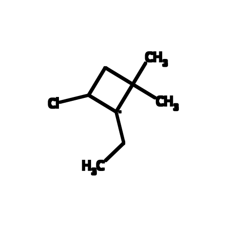 CC[C]1C(Cl)CC1(C)C